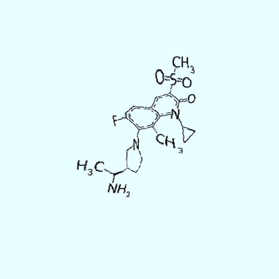 Cc1c(N2CC[C@@H](C(C)N)C2)c(F)cc2cc(S(C)(=O)=O)c(=O)n(C3CC3)c12